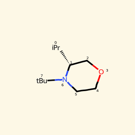 CC(C)[C@@H]1COCCN1C(C)(C)C